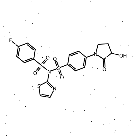 O=C1C(O)CCN1c1ccc(S(=O)(=O)N(c2nccs2)S(=O)(=O)c2ccc(F)cc2)cc1